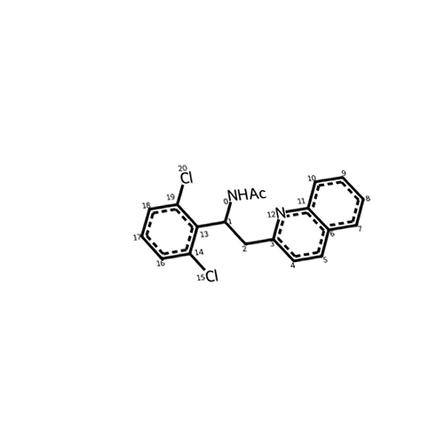 CC(=O)NC(Cc1ccc2ccccc2n1)c1c(Cl)cccc1Cl